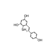 Oc1ccc(C=Cc2cc(O)cc(O)c2[SiH3])cc1